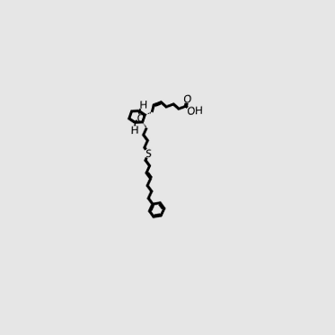 O=C(O)CCC/C=C\C[C@@H]1[C@H](CCCCSCCC=CCCCc2ccccc2)[C@@H]2CC[C@H]1O2